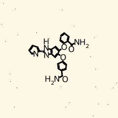 NC(=O)c1ccc(Oc2cc3nc(-c4ccccn4)[nH]c3cc2Oc2ccccc2C(N)=O)cc1